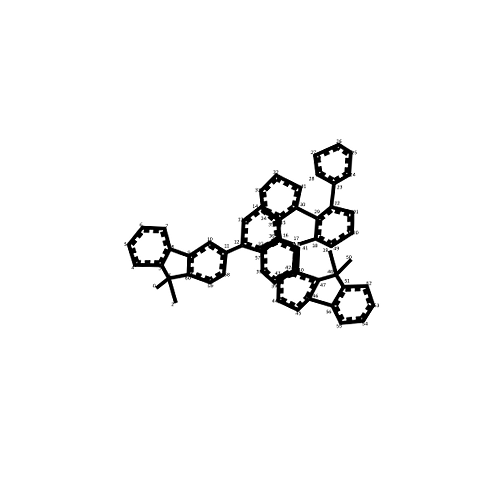 CC1(C)c2ccccc2-c2cc(-c3cccc(N(c4cccc(-c5ccccc5)c4-c4ccccc4-c4ccccc4)c4cccc5c4C(C)(C)c4ccccc4-5)c3)ccc21